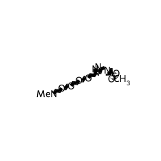 CNCCOCCOCCOCCOCCn1cc(CN2CC(S(C)(=O)=O)C2)nn1